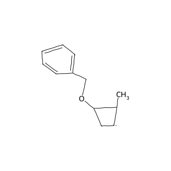 CC1[CH]CC1OCc1ccccc1